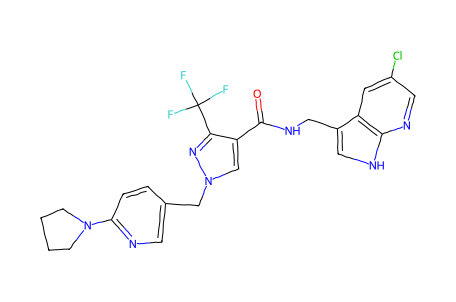 O=C(NCc1c[nH]c2ncc(Cl)cc12)c1cn(Cc2ccc(N3CCCC3)nc2)nc1C(F)(F)F